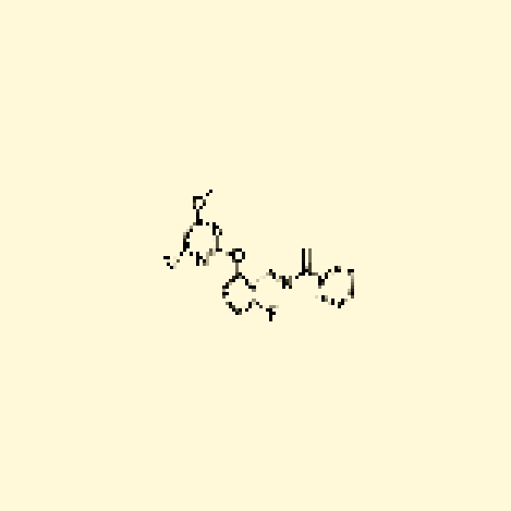 COc1cc(OC)nc(Oc2cccc(F)c2C=NNc2ccccc2)n1